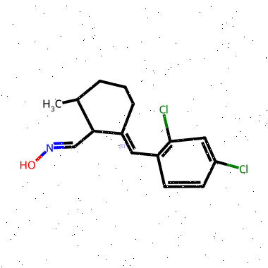 CC1CCC/C(=C\c2ccc(Cl)cc2Cl)C1C=NO